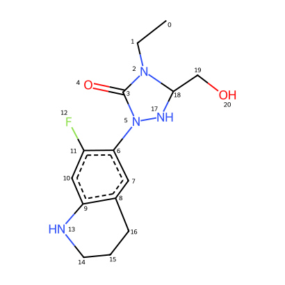 CCN1C(=O)N(c2cc3c(cc2F)NCCC3)NC1CO